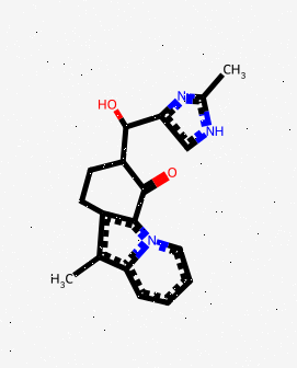 Cc1nc(C(O)C2CCc3c(C)c4ccccn4c3C2=O)c[nH]1